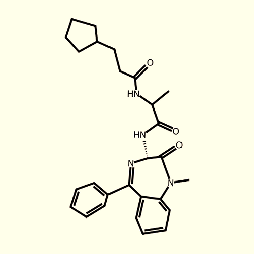 CC(NC(=O)CCC1CCCC1)C(=O)N[C@H]1N=C(c2ccccc2)c2ccccc2N(C)C1=O